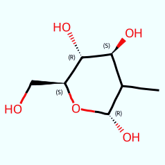 CC1[C@H](O)O[C@@H](CO)[C@H](O)[C@H]1O